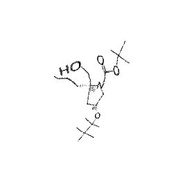 CCC[C@@]1(CO)C[C@@H](OC(C)(C)C(C)(C)C)CN1C(=O)OC(C)(C)C